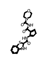 O=C(NC(=O)N1CCOCC1)C1=CCC=C1NC(=O)C1Nc2ccccc2S1